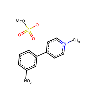 COS(=O)(=O)[O-].C[n+]1ccc(-c2cccc([N+](=O)[O-])c2)cc1